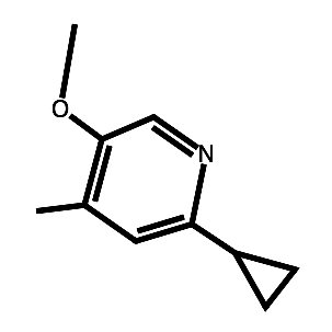 COc1cnc(C2CC2)cc1C